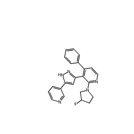 FC1CCN(c2nccc(-c3ccccc3)c2-c2cc(-c3cccnc3)[nH]n2)C1